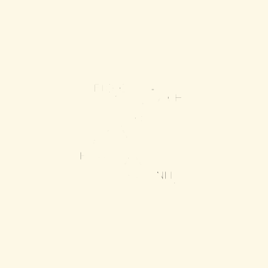 CCOC(=O)Cc1ccc(C)cc1OCc1cc(-c2cccc(CN)c2F)c2oc(F)cc2c1